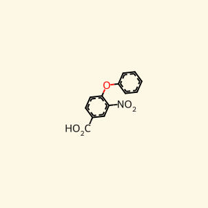 O=C(O)c1ccc(Oc2ccccc2)c([N+](=O)[O-])c1